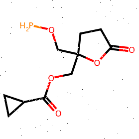 O=C1CCC(COP)(COC(=O)C2CC2)O1